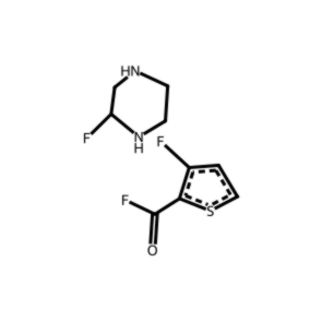 FC1CNCCN1.O=C(F)c1sccc1F